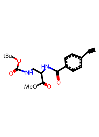 C#Cc1ccc(C(=O)NC(CNC(=O)OC(C)(C)C)C(=O)OC)cc1